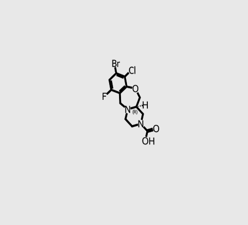 O=C(O)N1CCN2Cc3c(F)cc(Br)c(Cl)c3OC[C@H]2C1